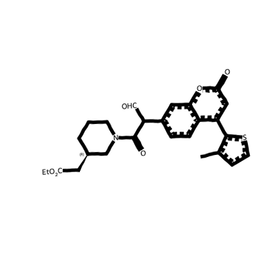 CCOC(=O)C[C@H]1CCCN(C(=O)C(C=O)c2ccc3c(-c4sccc4C)cc(=O)oc3c2)C1